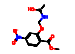 COC(=O)c1ccc([N+](=O)[O-])cc1OCNB(C)O